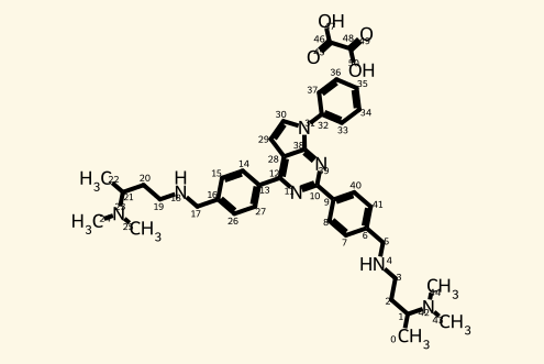 CC(CCNCc1ccc(-c2nc(-c3ccc(CNCCC(C)N(C)C)cc3)c3ccn(-c4ccccc4)c3n2)cc1)N(C)C.O=C(O)C(=O)O